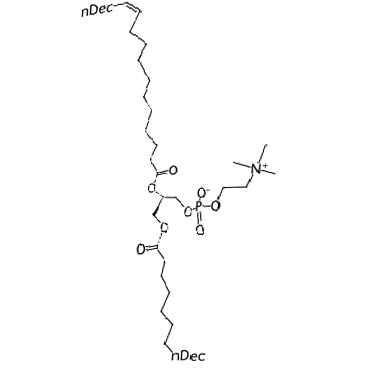 CCCCCCCCCC/C=C\CCCCCCCCCC(=O)O[C@H](COC(=O)CCCCCCCCCCCCCCCC)COP(=O)([O-])OCC[N+](C)(C)C